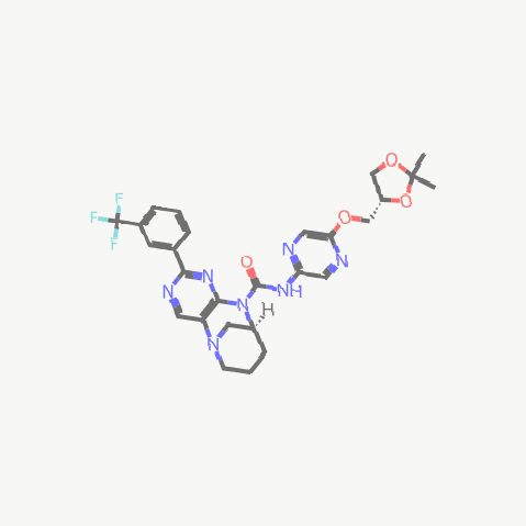 CC1(C)OC[C@@H](COc2cnc(NC(=O)N3c4nc(-c5cccc(C(F)(F)F)c5)ncc4N4CCC[C@H]3C4)cn2)O1